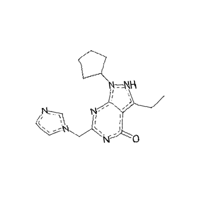 CCc1[nH]n(C2CCCC2)c2nc(Cn3ccnc3)nc(=O)c1-2